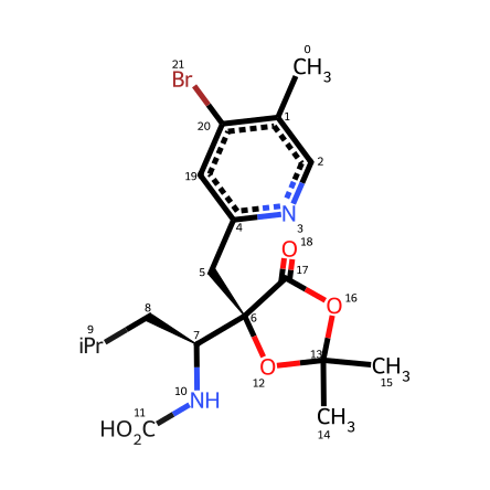 Cc1cnc(C[C@]2([C@H](CC(C)C)NC(=O)O)OC(C)(C)OC2=O)cc1Br